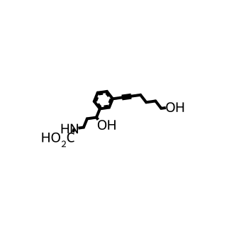 O=C(O)NCCC(O)c1cccc(C#CCCCCO)c1